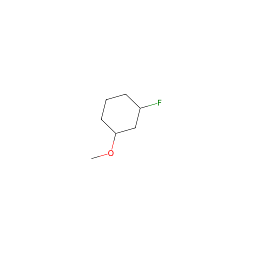 COC1CCCC(F)C1